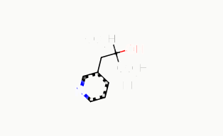 O=C(O)C(O)(Cc1cccnc1)C(=O)O.[LiH]